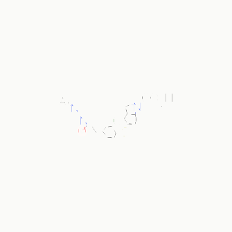 CC(=O)N1CCN(C(=O)C=Cc2ccc(Sc3ccc4c(ccn4CC(=O)O)c3)c(Cl)c2)CC1